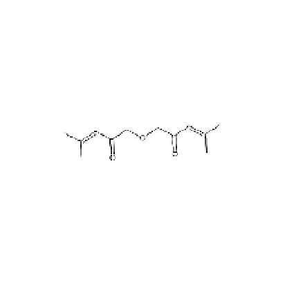 CC(C)=CC(=O)COCC(=O)C=C(C)C